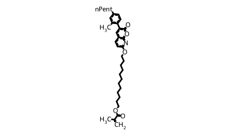 C=C(C)C(=O)OCCCCCCCCCCCCOc1ccc2cc(-c3ccc(CCCCC)cc3C)c(=O)oc2n1